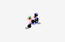 CCCN(CC1CCN(C(=O)c2ccncc2)CC1)C(C)Cc1cccc(NC(=O)c2ccc(C(C)(C)C)cc2)c1.O=C(O)C(F)(F)F